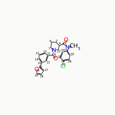 CN(C(=O)C1CCCN(C(=O)c2cccc(-c3ccco3)c2)C1)c1ccc(Cl)cc1